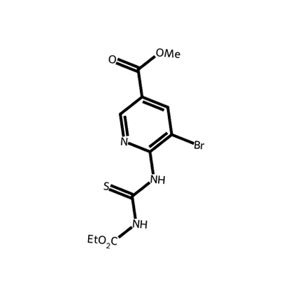 CCOC(=O)NC(=S)Nc1ncc(C(=O)OC)cc1Br